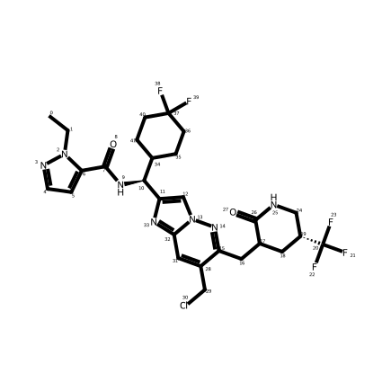 CCn1nccc1C(=O)N[C@H](c1cn2nc(CC3C[C@@H](C(F)(F)F)CNC3=O)c(CCl)cc2n1)C1CCC(F)(F)CC1